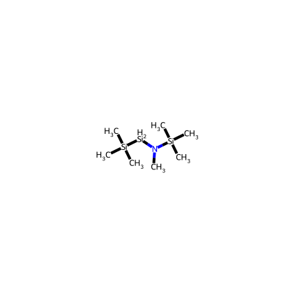 CN([SiH2][Si](C)(C)C)[Si](C)(C)C